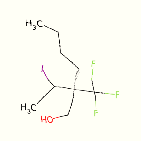 CCCC[C@](CO)(C(C)I)C(F)(F)F